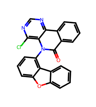 O=c1c2ccccc2c2ncnc(Cl)c2n1-c1cccc2oc3ccccc3c12